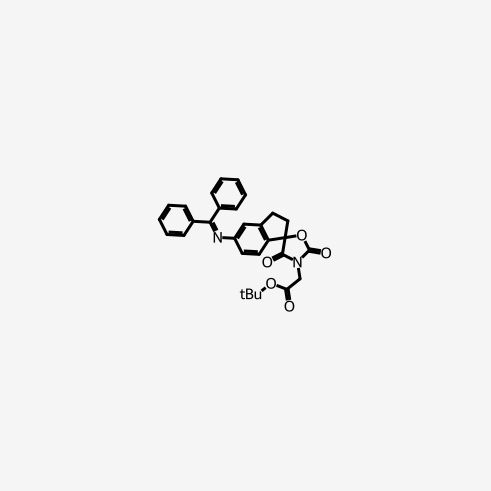 CC(C)(C)OC(=O)CN1C(=O)OC2(CCc3cc(N=C(c4ccccc4)c4ccccc4)ccc32)C1=O